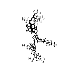 CC[C@H](CC[C@@H](C)[C@H]1CC[C@H]2[C@@H]3CC=C4C[C@@H](OC(=O)N(CCCCN(CCCNC(=O)OC(C)(C)C)C(=O)OC(C)(C)C)CCCNC(=O)OC(C)(C)C)CC[C@]4(C)[C@H]3CC[C@]12C)C(C)C